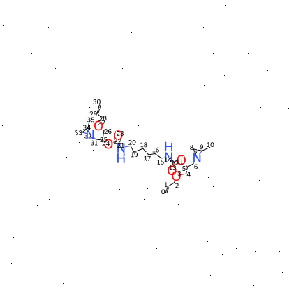 C=CCOCC(CN1CC1C)OC(=O)NCCCCCCNC(=O)OC(COCC=C)CN1CC1C